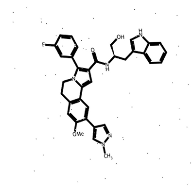 COc1cc2c(cc1-c1cnn(C)c1)-c1cc(C(=O)N[C@@H](CO)Cc3c[nH]c4ccccc34)c(-c3cccc(F)c3)n1CC2